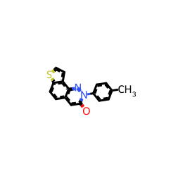 Cc1ccc(-n2nc3c(ccc4sccc43)cc2=O)cc1